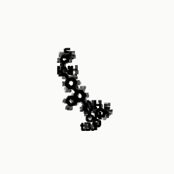 CC(C)(C)OC(=O)N1CC(F)(F)C[C@H]1c1ncc(-c2ccc(-c3ccc(-c4cnc([C@H]5CCC(F)(F)C5)[nH]4)cc3)c3c2C2CCC3C2)[nH]1